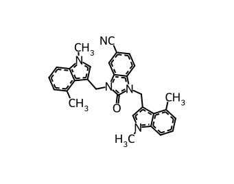 Cc1cccc2c1c(Cn1c(=O)n(Cc3cn(C)c4cccc(C)c34)c3cc(C#N)ccc31)cn2C